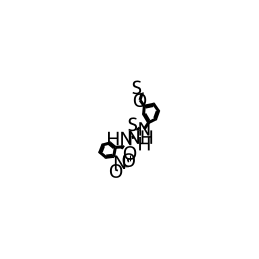 O=C(NNC(=S)Nc1cccc(OC=S)c1)c1ccccc1[N+](=O)[O-]